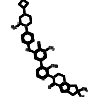 C[C@H]1CN(C2COC2)CCN1c1ccc(Nc2cc(-c3ccnc(N4CCn5c(cc6c5CC(C)(C)C6)C4=O)c3C=O)cn(C)c2=O)nc1